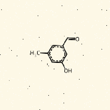 Cc1[c]c(C=O)cc(O)c1